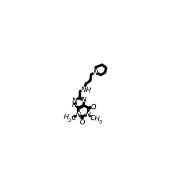 Cn1c(=O)c2nc(CNCCCN3CCCCC3)nnc2n(C)c1=O